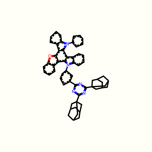 c1ccc(-n2c3ccccc3c3c4oc5ccccc5c4c4c(c5ccccc5n4-c4cccc(-c5nc(C67CC8CC(CC(C8)C6)C7)nc(C67CC8CC(CC(C8)C6)C7)n5)c4)c32)cc1